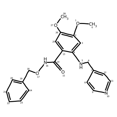 COc1cc(NCc2ccncc2)c(C(=O)NOCc2ccccc2)cc1OC